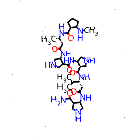 CNC1CCCC1C(=O)N[C@@H](C)CC(=O)NC1CNCC1C(=O)NC1CNCC1C(=O)N[C@H](CC(=O)NC1CNCC1C(N)=O)C(C)C